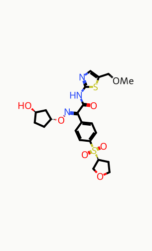 COCc1cnc(NC(=O)/C(=N/O[C@@H]2CC[C@@H](O)C2)c2ccc(S(=O)(=O)[C@H]3CCOC3)cc2)s1